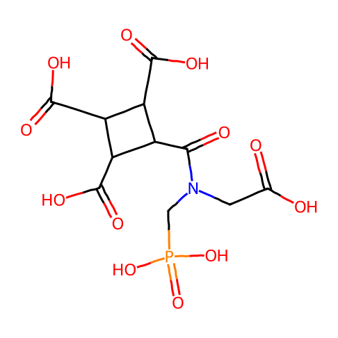 O=C(O)CN(CP(=O)(O)O)C(=O)C1C(C(=O)O)C(C(=O)O)C1C(=O)O